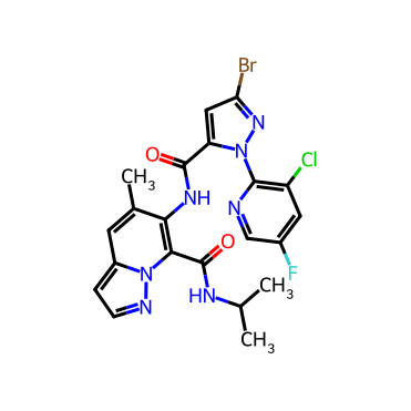 Cc1cc2ccnn2c(C(=O)NC(C)C)c1NC(=O)c1cc(Br)nn1-c1ncc(F)cc1Cl